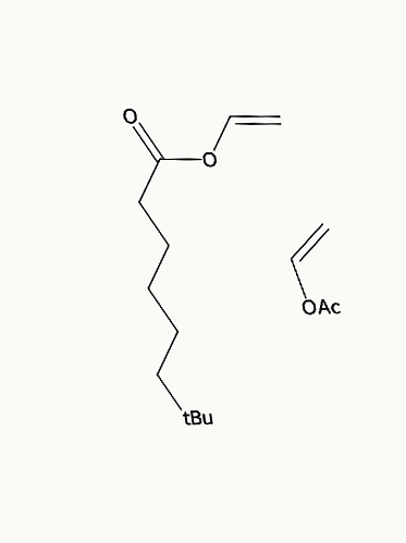 C=COC(=O)CCCCCC(C)(C)C.C=COC(C)=O